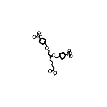 COC(=O)CCCC[C@@H](CCOCc1ccc([N+](=O)[O-])cc1)OCc1ccc([N+](=O)[O-])cc1